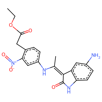 CCOC(=O)Cc1ccc(N/C(C)=C2\C(=O)Nc3ccc(N)cc32)cc1[N+](=O)[O-]